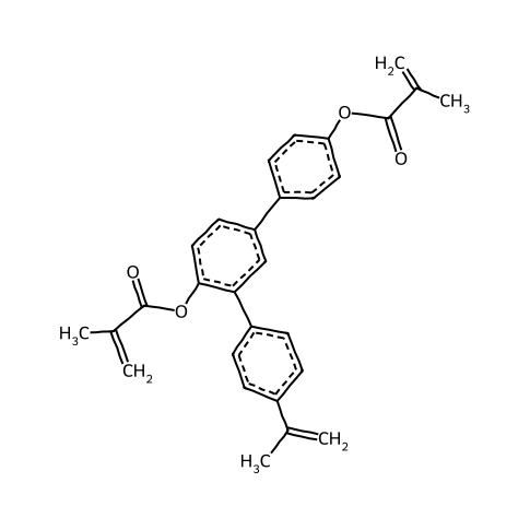 C=C(C)C(=O)Oc1ccc(-c2ccc(OC(=O)C(=C)C)c(-c3ccc(C(=C)C)cc3)c2)cc1